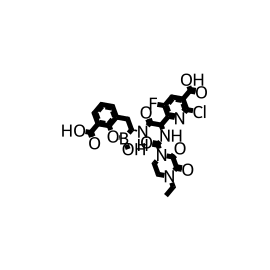 CCN1CCN(C(=O)NC(C(=O)N[C@H]2Cc3cccc(C(=O)O)c3OB2O)c2nc(Cl)c(C(=O)O)cc2F)C(=O)C1=O